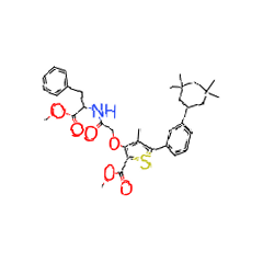 COC(=O)c1sc(-c2cccc(C3CC(C)(C)CC(C)(C)C3)c2)c(C)c1OCC(=O)NC(Cc1ccccc1)C(=O)OC